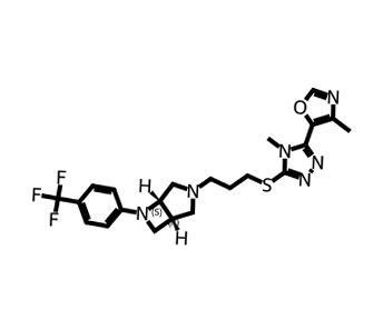 Cc1ncoc1-c1nnc(SCCCN2C[C@@H]3CN(c4ccc(C(F)(F)F)cc4)[C@@H]3C2)n1C